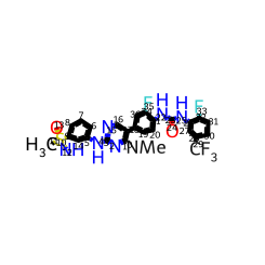 CNc1nc(Nc2cccc(S(C)(=N)=O)c2)ncc1-c1ccc(NC(=O)Nc2cc(C(F)(F)F)ccc2F)c(F)c1